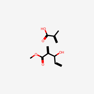 C=C(C)C(=O)O.C=CC(O)C(=C)C(=O)OC